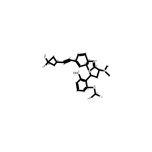 CN(C)C1CC(c2c(C=O)cccc2OC(F)F)n2c1nc1ccc(C#CC3CC(F)(F)C3)cc12